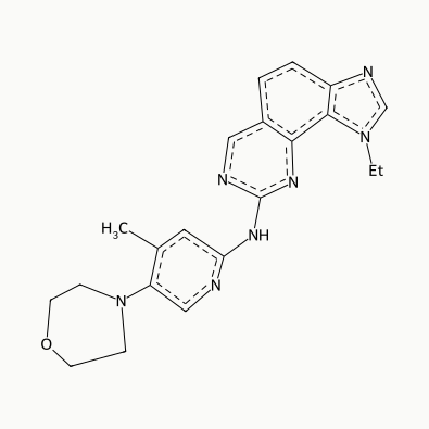 CCn1cnc2ccc3cnc(Nc4cc(C)c(N5CCOCC5)cn4)nc3c21